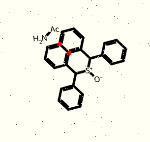 CC(N)=O.[O-][S+](C(c1ccccc1)c1ccccc1)C(c1ccccc1)c1ccccc1